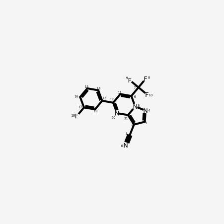 N#Cc1cnn2c(C(F)(F)F)cc(-c3cccc(F)c3)nc12